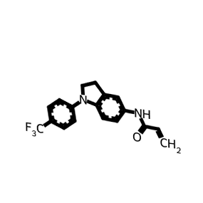 C=CC(=O)Nc1ccc2c(c1)CCN2c1ccc(C(F)(F)F)cc1